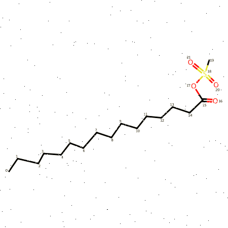 CCCCCCCCCCCCCCCC(=O)OS(C)(=O)=O